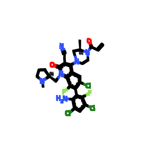 C=CC(=O)N1CCN(c2c(C#N)c(=O)n(C[C@@H]3CCCN3C)c3c(F)c(-c4c(N)c(Cl)cc(Cl)c4F)c(Cl)cc23)C[C@H]1C